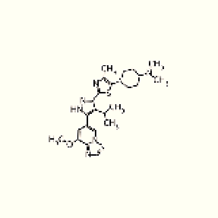 COc1cc(-c2[nH]nc(-c3nc(C)c(N4CCC(N(C)C)CC4)s3)c2C(C)C)cn2ncnc12